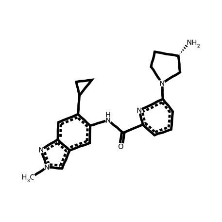 Cn1cc2cc(NC(=O)c3cccc(N4CC[C@H](N)C4)n3)c(C3CC3)cc2n1